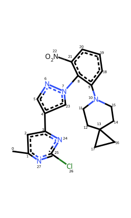 Cc1cc(-c2cnn(-c3c(N4CCC5(CC4)CC5)cccc3[N+](=O)[O-])c2)nc(Cl)n1